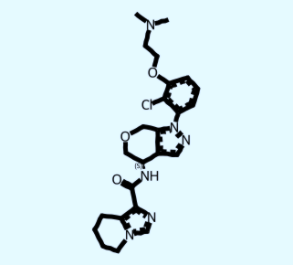 CN(C)CCOc1cccc(-n2ncc3c2COC[C@H]3NC(=O)c2ncn3c2CCCC3)c1Cl